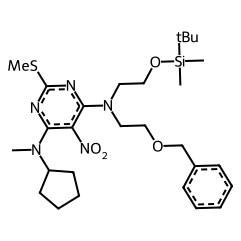 CSc1nc(N(CCOCc2ccccc2)CCO[Si](C)(C)C(C)(C)C)c([N+](=O)[O-])c(N(C)C2CCCC2)n1